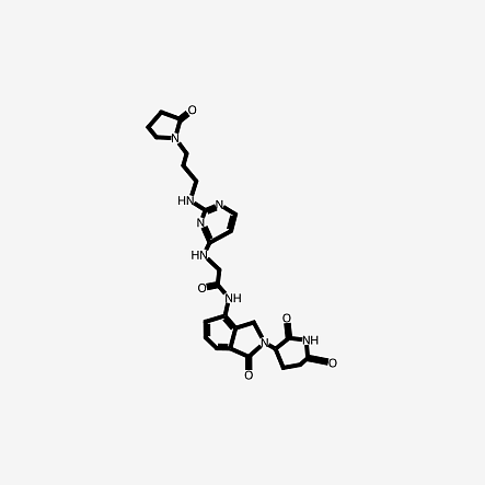 O=C1CCC(N2Cc3c(NC(=O)CNc4ccnc(NCCCN5CCCC5=O)n4)cccc3C2=O)C(=O)N1